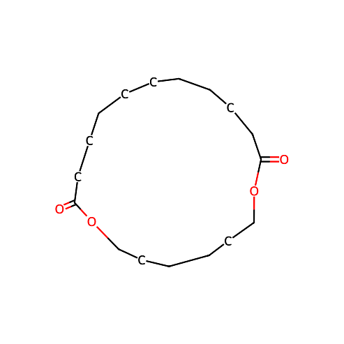 O=C1CCCCCCCCCC(=O)OCCCCCCO1